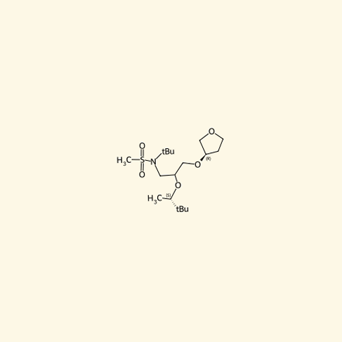 C[C@H](OC(CO[C@@H]1CCOC1)CN(C(C)(C)C)S(C)(=O)=O)C(C)(C)C